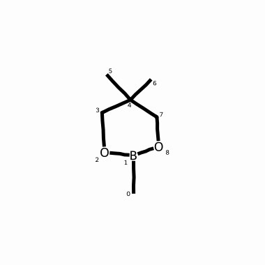 CB1OCC(C)(C)CO1